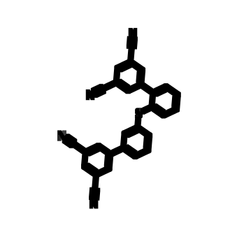 N#Cc1cc(C#N)cc(-c2cccc(Sc3ccccc3-c3cc(C#N)cc(C#N)c3)c2)c1